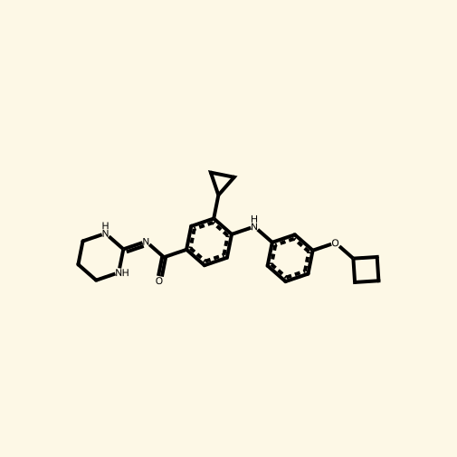 O=C(N=C1NCCCN1)c1ccc(Nc2cccc(OC3CCC3)c2)c(C2CC2)c1